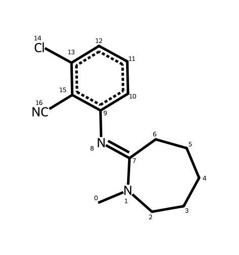 CN1CCCCCC1=Nc1cccc(Cl)c1C#N